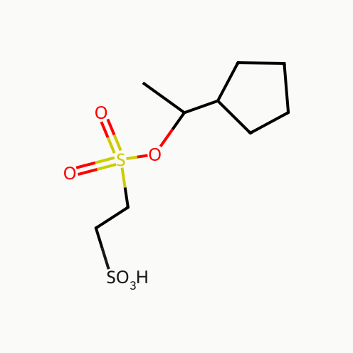 CC(OS(=O)(=O)CCS(=O)(=O)O)C1CCCC1